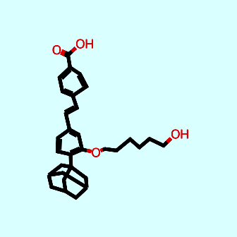 O=C(O)c1ccc(/C=C/c2ccc(C34CC5CC(CC(C5)C3)C4)c(OCCCCCCO)c2)cc1